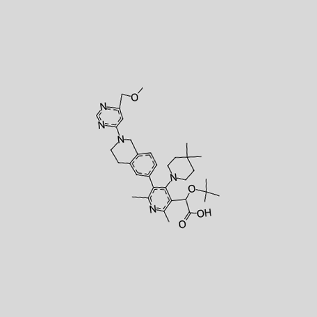 COCc1cc(N2CCc3cc(-c4c(C)nc(C)c(C(OC(C)(C)C)C(=O)O)c4N4CCC(C)(C)CC4)ccc3C2)ncn1